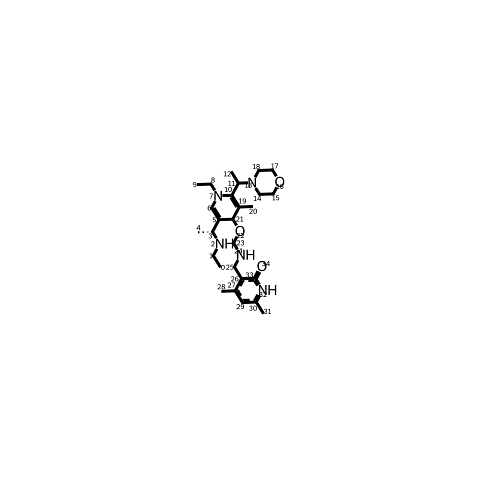 CCN[C@H](C)C1=CN(CC)C(C(C)N2CCOCC2)=C(C)C1OCNCc1c(C)cc(C)[nH]c1=O